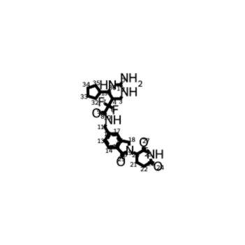 NC1NCC(C(F)(F)C(=O)NCc2ccc3c(c2)CN(C2CCC(=O)NC2=O)C3=O)C(C2CCCC2)N1